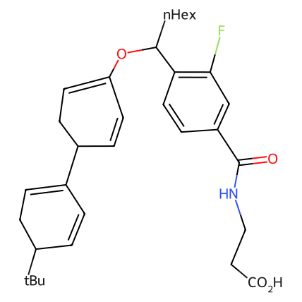 CCCCCCC(OC1=CCC(C2=CCC(C(C)(C)C)C=C2)C=C1)c1ccc(C(=O)NCCC(=O)O)cc1F